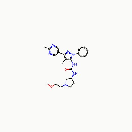 COCCN1CC[C@H](NC(=O)Nc2c(C)c(-c3cnc(C)nc3)nn2-c2ccccc2)C1